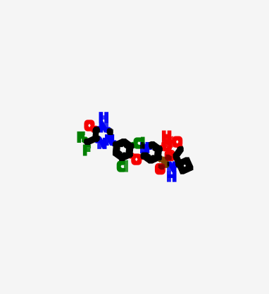 O=C1NCN(c2cc(Cl)c(Oc3cc(S(=O)(=O)NC4(CCO)CCC4)c(O)cn3)c(Cl)c2)N=C1C(F)F